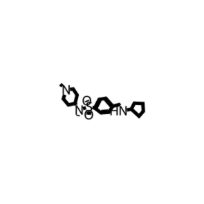 CN1CCC(N(C)S(=O)(=O)c2ccc(CNC3CCCC3)cc2)CC1